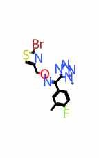 Cc1cc(C(=NOCc2csc(Br)n2)c2nnnn2C)ccc1F